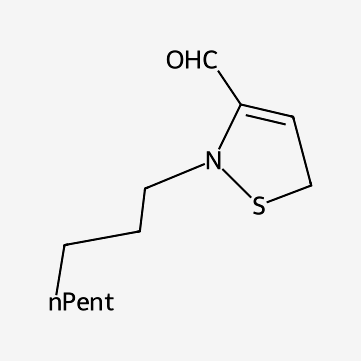 CCCCCCCCN1SCC=C1C=O